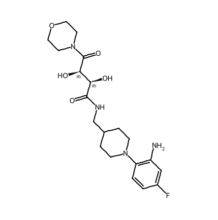 Nc1cc(F)ccc1N1CCC(CNC(=O)[C@H](O)[C@@H](O)C(=O)N2CCOCC2)CC1